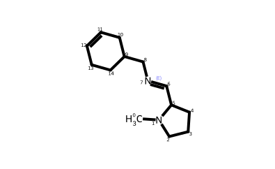 CN1CCCC1/C=N/CC1CC=CCC1